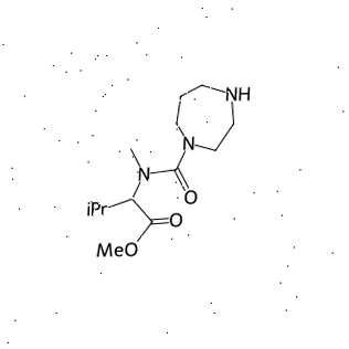 COC(=O)C(C(C)C)N(C)C(=O)N1CCCNCC1